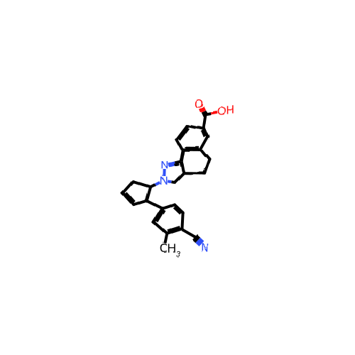 Cc1cc(C2C=CCC2N2CC3CCc4cc(C(=O)O)ccc4C3=N2)ccc1C#N